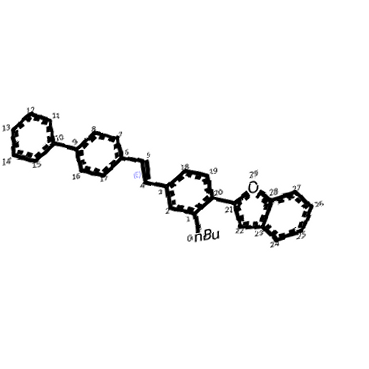 CCCCc1cc(/C=C/c2ccc(-c3ccccc3)cc2)ccc1-c1cc2ccccc2o1